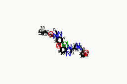 Cc1nc2ccc(Oc3ccc4ncc(-c5cnn(CC67CC(CO6)C7)c5)nc4c3Cl)cc2n1COCC[Si](C)(C)C